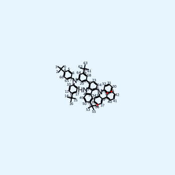 CC(C)(C)c1ccc(N(c2ccc(C(C)(C)C)cc2)c2cc(-c3ccc(N(c4ccccc4)c4ccccc4-c4ccccc4)c4c3[nH]c3ccc(C(C)(C)C)cc34)cc(C(C)(C)C)c2)cc1